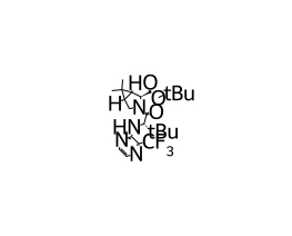 CC(C)(C)OC(=O)[C@@H]1[C@@H]2[C@H](CN1C(=O)[C@@H](Nc1nccnc1C(F)(F)F)C(C)(C)C)C2(C)C